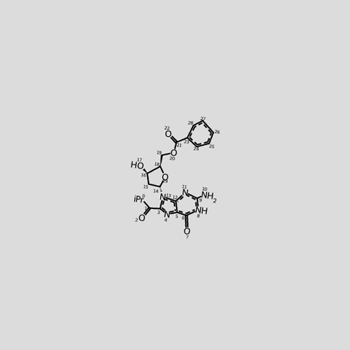 CC(C)C(=O)c1nc2c(=O)[nH]c(N)nc2n1[C@@H]1C[C@@H](O)[C@@H](COC(=O)c2ccccc2)O1